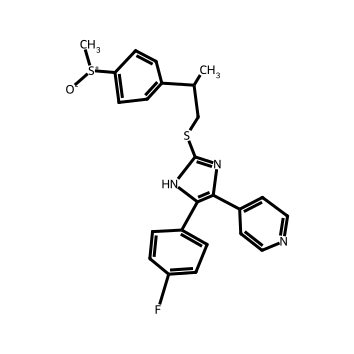 CC(CSc1nc(-c2ccncc2)c(-c2ccc(F)cc2)[nH]1)c1ccc([S+](C)[O-])cc1